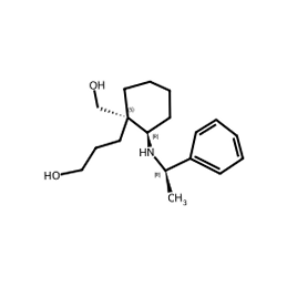 C[C@@H](N[C@@H]1CCCC[C@]1(CO)CCCO)c1ccccc1